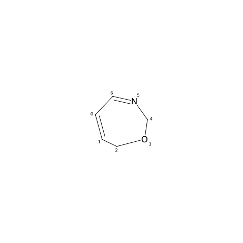 C1=CCOCN=C1